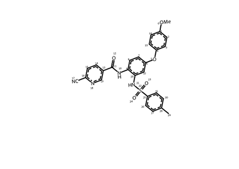 COc1ccc(Oc2ccc(NC(=O)c3ccc(C#N)nc3)c(NS(=O)(=O)c3ccc(C)cc3)c2)cc1